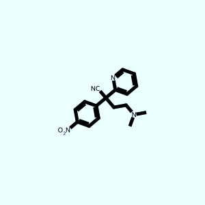 CN(C)CCC(C#N)(c1ccc([N+](=O)[O-])cc1)c1ccccn1